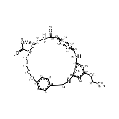 COC(=O)N1CCCOc2ccc(cc2)CNc2nc(nc(OCC(F)(F)F)n2)Nc2ccc(cc2)C(=O)NCC1